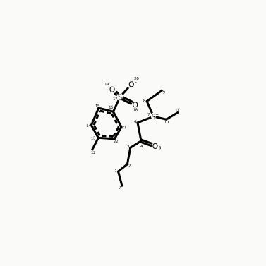 CCCCC(=O)C[S+](CC)CC.Cc1ccc(S(=O)(=O)[O-])cc1